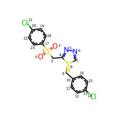 O=S(=O)(CC1=NN=C[SH]1Cc1ccc(Cl)cc1)c1ccc(Cl)cc1